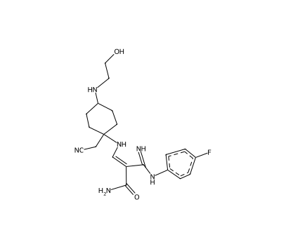 N#CCC1(N/C=C(\C(=N)Nc2ccc(F)cc2)C(N)=O)CCC(NCCO)CC1